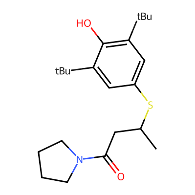 CC(CC(=O)N1CCCC1)Sc1cc(C(C)(C)C)c(O)c(C(C)(C)C)c1